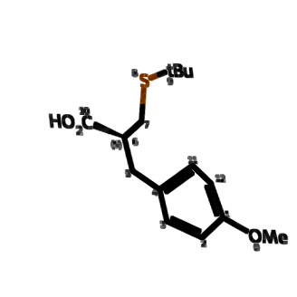 COc1ccc(C[C@H](CSC(C)(C)C)C(=O)O)cc1